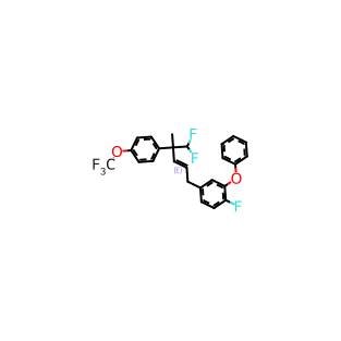 CC(/C=C/Cc1ccc(F)c(Oc2ccccc2)c1)(c1ccc(OC(F)(F)F)cc1)C(F)F